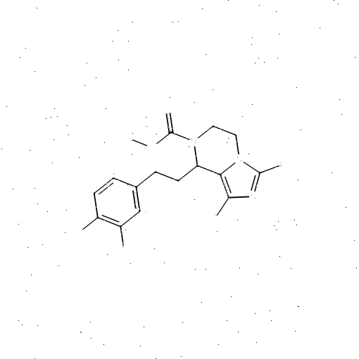 CCc1nc(Cl)c2n1CCN(C(=O)OC(C)(C)C)C2CCc1ccc(F)c(F)c1